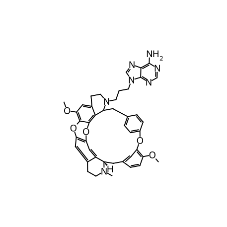 COc1ccc2cc1Oc1ccc(cc1)CC1c3c(cc(OC)c4c3Oc3cc5c(cc3O4)CCN(C)[C@H]5C2)CCN1CCCn1cnc2c(N)ncnc21